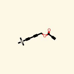 C#CC(=O)OCC#CC#C[Si](C)(C)C